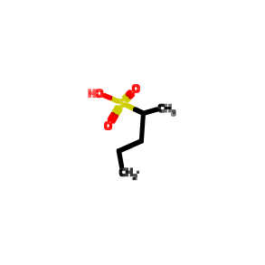 [CH2]CCC(C)S(=O)(=O)O